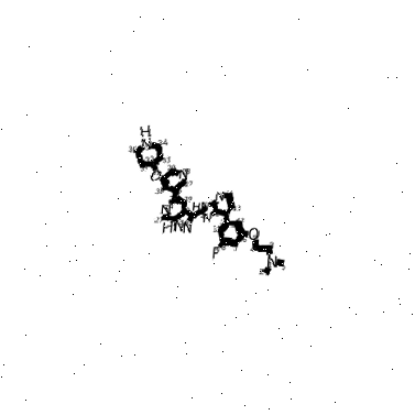 CN(C)CCOc1cc(F)cc(-c2ccnc3[nH]c(-c4n[nH]c5cnc(-c6cncc(OC7CCNCC7)c6)cc45)nc23)c1